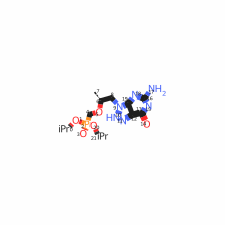 CC(C)OP(=O)(CO[C@H](C)Cn1[nH]nc2c(=O)nc(N)nc1-2)OC(C)C